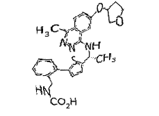 Cc1nnc(N[C@H](C)c2ccc(-c3ccccc3CNC(=O)O)s2)c2cc(OC3CCOC3)ccc12